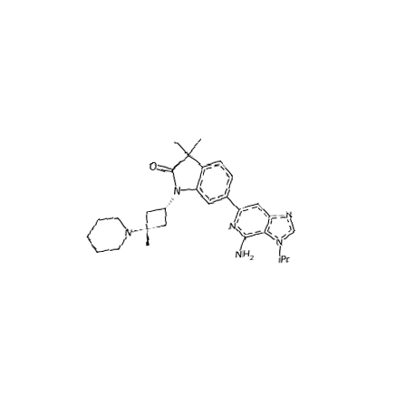 CC(C)n1cnc2cc(-c3ccc4c(c3)N([C@H]3C[C@@](C)(N5CCCCC5)C3)C(=O)C4(C)C)nc(N)c21